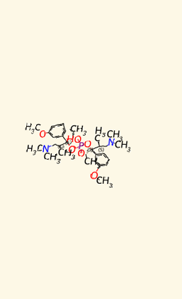 CC[C@@](OP(=O)(O)O[C@](CC)(c1cccc(OC)c1)[C@@H](C)CN(C)C)(c1cccc(OC)c1)[C@@H](C)CN(C)C